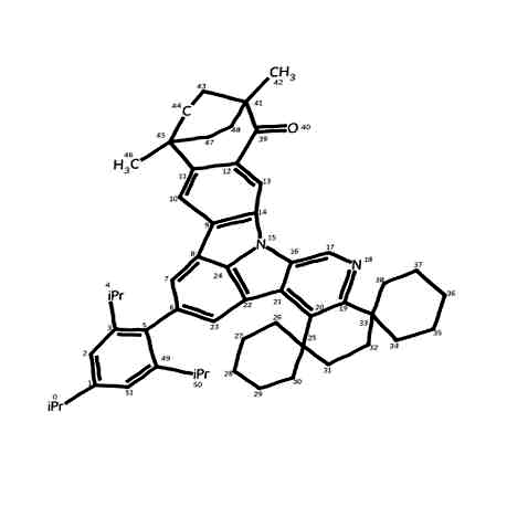 CC(C)c1cc(C(C)C)c(-c2cc3c4cc5c(cc4n4c6cnc7c(c6c(c2)c34)C2(CCCCC2)CCC72CCCCC2)C(=O)C2(C)CCC5(C)CC2)c(C(C)C)c1